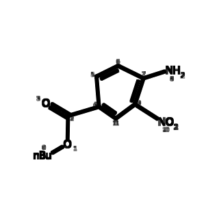 CCCCOC(=O)c1ccc(N)c([N+](=O)[O-])c1